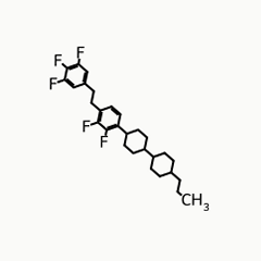 CCCC1CCC(C2CCC(c3ccc(CCc4cc(F)c(F)c(F)c4)c(F)c3F)CC2)CC1